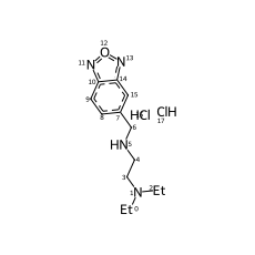 CCN(CC)CCNCc1ccc2nonc2c1.Cl.Cl